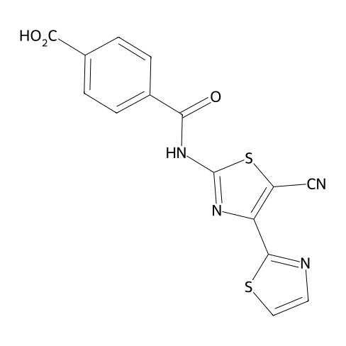 N#Cc1sc(NC(=O)c2ccc(C(=O)O)cc2)nc1-c1nccs1